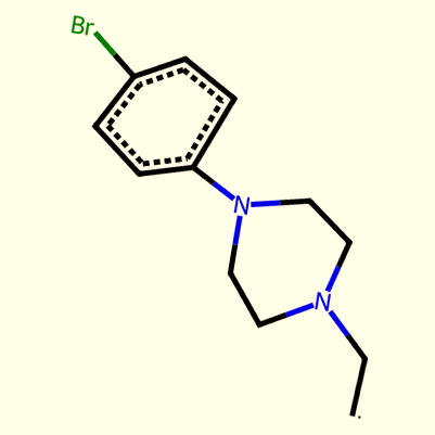 [CH2]CN1CCN(c2ccc(Br)cc2)CC1